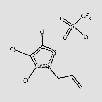 C=CC[n+]1sc(Cl)c(Cl)c1Cl.O=S(=O)([O-])C(F)(F)F